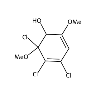 COC1=CC(Cl)=C(Cl)C(Cl)(OC)C1O